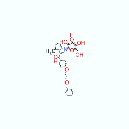 Cc1cccc2c1c(C(O)c1ccc(OCCCOCc3ccccc3)cc1)cn2[C@@H]1O[C@H](CO)[C@@H](O)[C@H](O)[C@H]1O